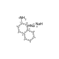 Nc1ccc2ccccc2c1.[NaH].[NaH]